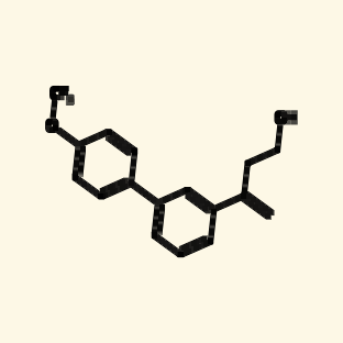 C=C(CCO)c1cccc(-c2ccc(OC(F)(F)F)cc2)c1